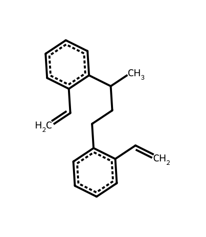 C=Cc1ccccc1CCC(C)c1ccccc1C=C